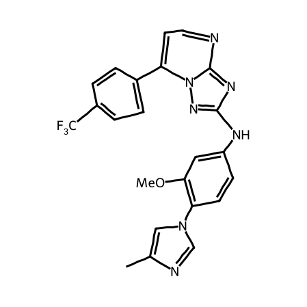 COc1cc(Nc2nc3nccc(-c4ccc(C(F)(F)F)cc4)n3n2)ccc1-n1cnc(C)c1